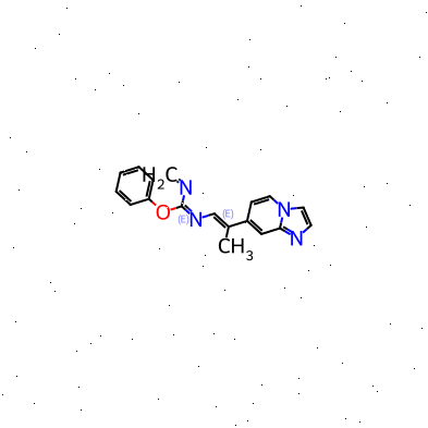 C=N/C(=N\C=C(/C)c1ccn2ccnc2c1)Oc1ccccc1